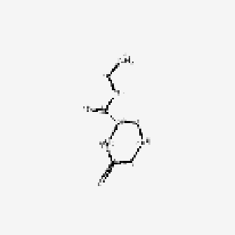 NCOC(=O)[C@@H]1CNCC(=O)N1